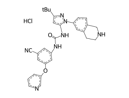 CC(C)(C)c1cc(NC(=O)Nc2cc(C#N)cc(Oc3cccnc3)c2)n(-c2ccc3c(c2)CCNC3)n1.Cl